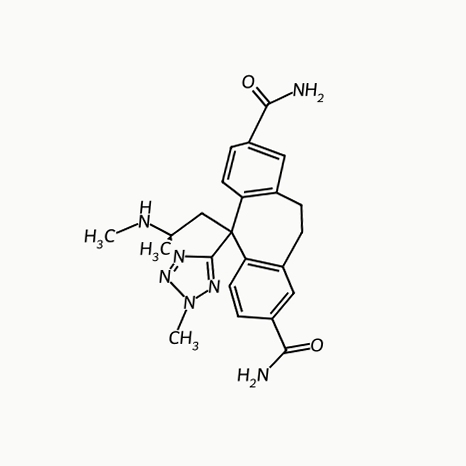 CN[C@H](C)CC1(c2nnn(C)n2)c2ccc(C(N)=O)cc2CCc2cc(C(N)=O)ccc21